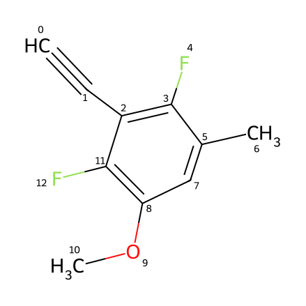 C#Cc1c(F)c(C)cc(OC)c1F